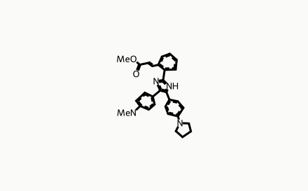 CNc1ccc(-c2nc(-c3ccccc3/C=C/C(=O)OC)[nH]c2-c2ccc(N3CCCC3)cc2)cc1